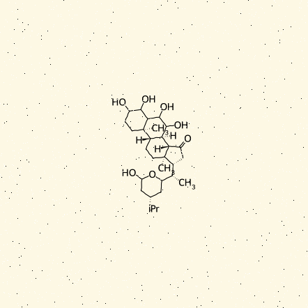 CC(C)[C@@H]1CC(O)OC([C@@H](C)[C@H]2CC(=O)[C@H]3[C@@H]4C(O)C(O)C5C(O)C(O)CC[C@]5(C)[C@H]4CC[C@]23C)C1